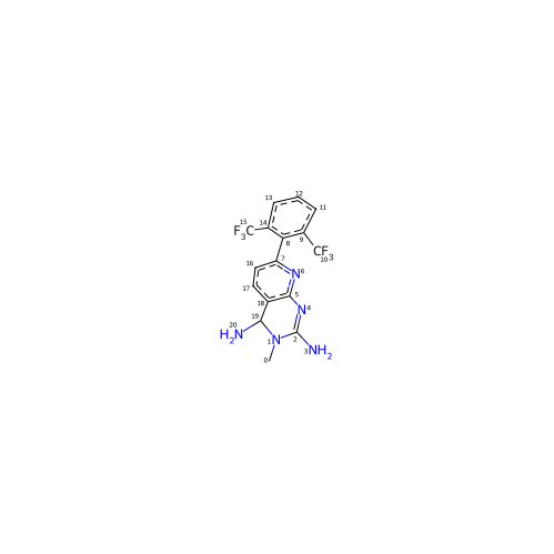 CN1C(N)=Nc2nc(-c3c(C(F)(F)F)cccc3C(F)(F)F)ccc2C1N